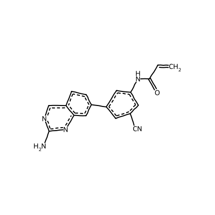 C=CC(=O)Nc1cc(C#N)cc(-c2ccc3cnc(N)nc3c2)c1